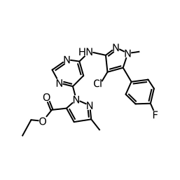 CCOC(=O)c1cc(C)nn1-c1cc(Nc2nn(C)c(-c3ccc(F)cc3)c2Cl)ncn1